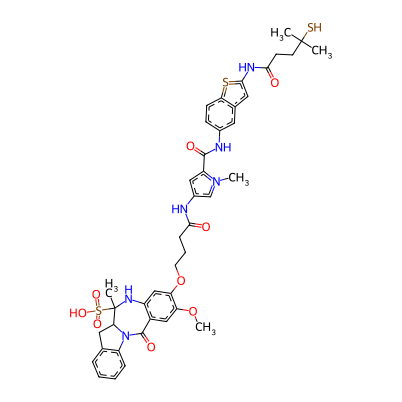 COc1cc2c(cc1OCCCC(=O)Nc1cc(C(=O)Nc3ccc4sc(NC(=O)CCC(C)(C)S)cc4c3)n(C)c1)NC(C)(S(=O)(=O)O)C1Cc3ccccc3N1C2=O